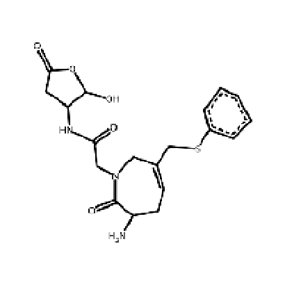 NC1CC=C(CSc2ccccc2)CN(CC(=O)NC2CC(=O)OC2O)C1=O